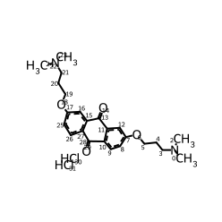 CN(C)CCCOc1ccc2c(c1)C(=O)c1cc(OCCCN(C)C)ccc1C2=O.Cl.Cl